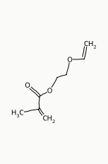 C=COCCOC(=O)C(=C)C